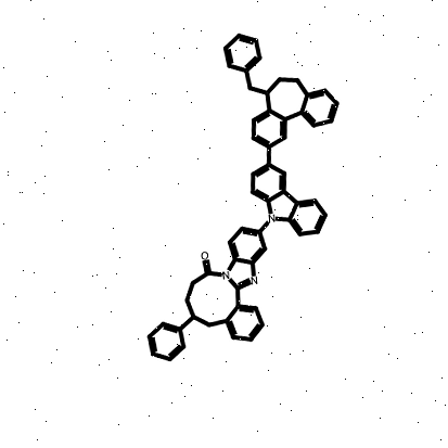 O=C1CCC(c2ccccc2)Cc2ccccc2-c2nc3cc(-n4c5ccccc5c5cc(-c6ccc7c(c6)-c6ccccc6CCC7Cc6ccccc6)ccc54)ccc3n21